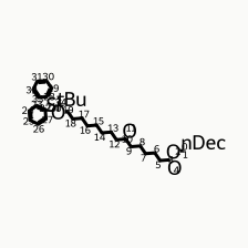 CCCCCCCCCCCOC(=O)CCCCCC(=O)CCCCCCCCO[Si](c1ccccc1)(c1ccccc1)C(C)(C)C